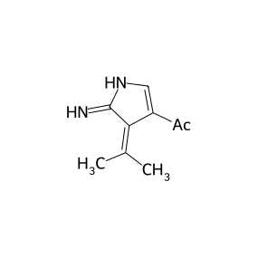 CC(=O)C1=CNC(=N)C1=C(C)C